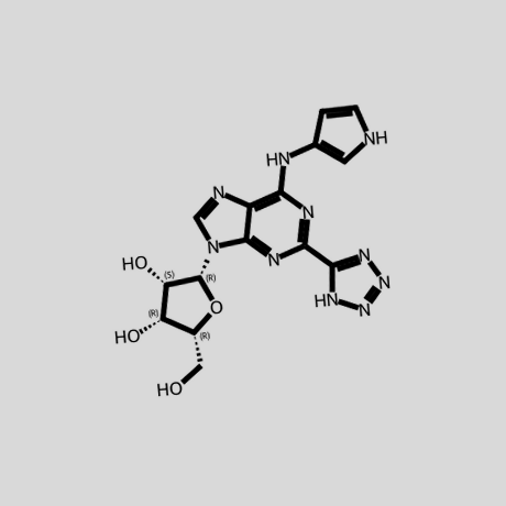 OC[C@H]1O[C@@H](n2cnc3c(Nc4cc[nH]c4)nc(-c4nnn[nH]4)nc32)[C@@H](O)[C@H]1O